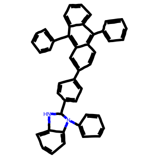 c1ccc(-c2c3ccccc3c(-c3ccccc3)c3cc(-c4ccc(C5Nc6ccccc6N5c5ccccc5)cc4)ccc23)cc1